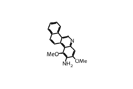 COc1cc2ncc3c4ccccc4ccc3c2c(OC)c1N